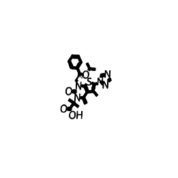 C=C1c2c(sc(-n3cncn3)c2C)N(C[C@H](OC(C)C)c2ccccc2)C(=O)N1C(C)(C)C(=O)O